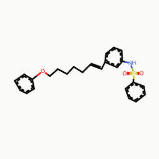 O=S(=O)(Nc1cccc(/C=C/CCCCCOc2[c]cccc2)c1)c1ccccc1